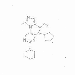 CCC1c2nnc(C)n2-c2cnc(N3CCCCC3)nc2N1C1CCCC1